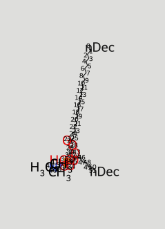 CCCCCCCCCCCCCCCCCCCCCCCCCCCCCCCCCCCC(=O)OC[C@H](COP(=O)(O)OCC[N+](C)(C)C)OC(=O)CCCCCCCCCCCCCCC